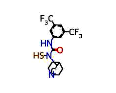 O=C(Nc1cc(C(F)(F)F)cc(C(F)(F)F)c1)N(S)C1CN2CCC1CC2